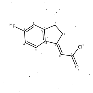 O=C(Cl)C=C1CCc2cc(F)ccc21